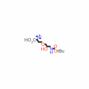 CC(C)(C)OC(=O)NCC(O)COCCC(C(=O)O)[N+](C)(C)C